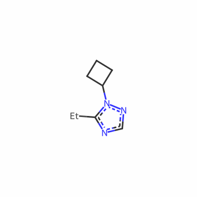 CCc1ncnn1C1CCC1